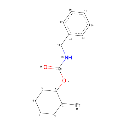 CC(C)C1CCCCC1OC(=O)NCc1ccccc1